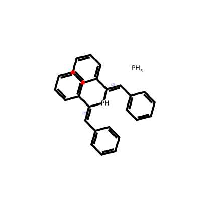 C(=C(/P/C(=C\c1ccccc1)c1ccccc1)c1ccccc1)/c1ccccc1.P